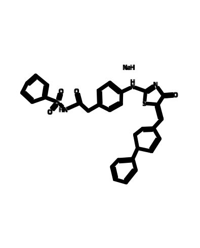 O=C(Cc1ccc(NC2=NC(=O)C(=CC3=CCC(c4ccccc4)C=C3)S2)cc1)NS(=O)(=O)c1ccccc1.[NaH]